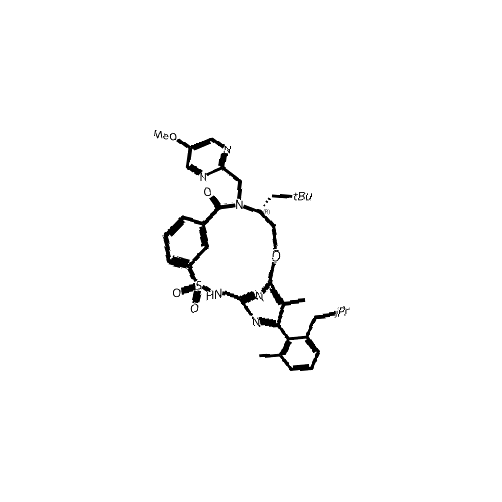 COc1cnc(CN2C(=O)c3cccc(c3)S(=O)(=O)Nc3nc(c(C)c(-c4c(C)cccc4CC(C)C)n3)OC[C@H]2CC(C)(C)C)nc1